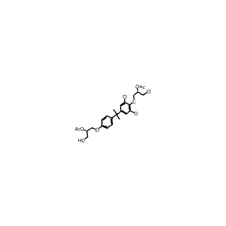 CC(=O)O[C@H](CO)COc1ccc(C(C)(C)c2cc(Cl)c(OC[C@H](CCl)OC(C)=O)c(Cl)c2)cc1